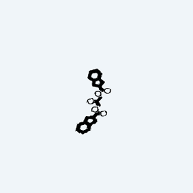 O=C(COC(=O)C1CC2CCCCC2C1)COC(=O)C1CC2CCCCC2C1